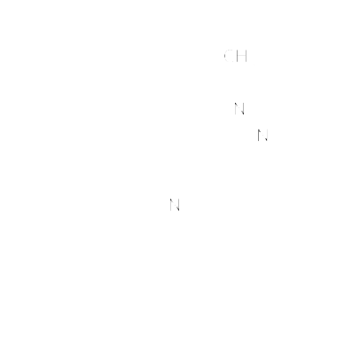 Cn1cc(N2C=CC=CC2)cn1